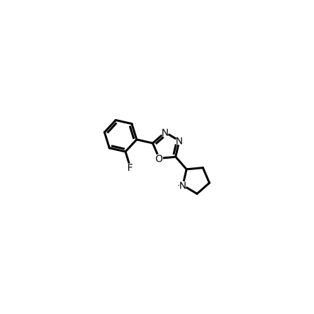 Fc1ccccc1-c1nnc(C2CCC[N]2)o1